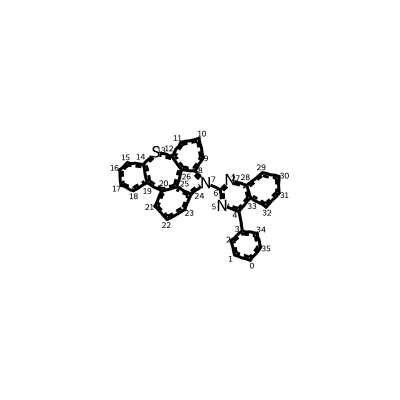 c1ccc(-c2nc(-n3c4cccc5sc6ccccc6c6cccc3c6c54)nc3ccccc23)cc1